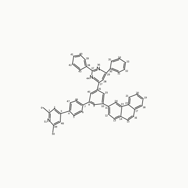 Cc1cc(-c2ccc(-c3cc(-c4ccc5ccc6ccccc6c5c4)cc(-c4cc(-c5ccccc5)nc(-c5ccccc5)n4)c3)cc2)cc(C)n1